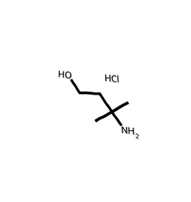 CC(C)(N)CCO.Cl